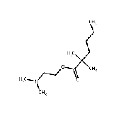 CCCCC(C)(C)C(=O)OCCN(C)C